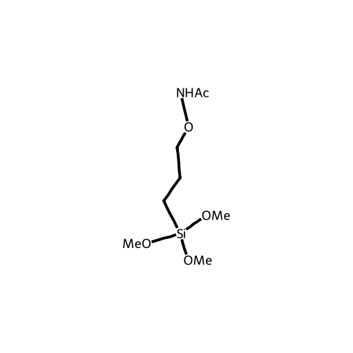 CO[Si](CCCONC(C)=O)(OC)OC